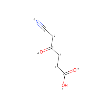 N#CCC(=O)CCC(=O)O